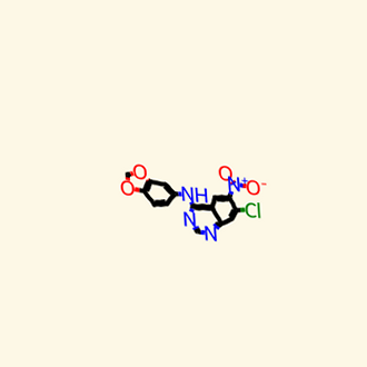 O=[N+]([O-])c1cc2c(Nc3ccc4c(c3)OCO4)ncnc2cc1Cl